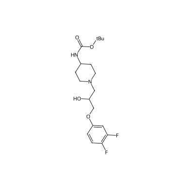 CC(C)(C)OC(=O)NC1CCN(CC(O)COc2ccc(F)c(F)c2)CC1